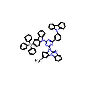 Cc1ccc2c(c1)n1c3ccccc3nc1n2-c1nc(-c2cccc(-n3c4ccccc4c4ccccc43)c2)nc(-n2c3ccccc3c3cc([Si](c4ccccc4)(c4ccccc4)c4ccccc4)ccc32)n1